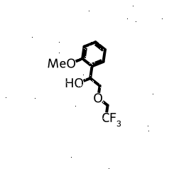 COc1ccccc1C(O)COCC(F)(F)F